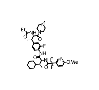 CCC(=O)N[C@@H](C(=O)N1CCN(C)CC1)[C@@H](C)c1ccc(NC(=O)[C@@H](NC(=O)C(F)(F)c2ccc(OC)nc2)[C@@H](C)C2CCCCC2)c(F)c1